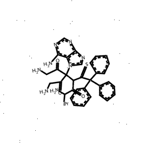 CC(C)C(N)C(=O)C(C(=S)C(c1ccccc1)(c1ccccc1)c1ccccc1)C(C(=O)CN)(C(=O)CN)n1cnc2ncnc(N)c21